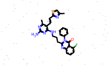 Cc1csc(/C=C/c2c(C)nc(N)nc2NCCCc2nc3cccc(F)c3c(=O)n2-c2ccccc2)n1